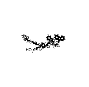 CN(Cc1cc2ccccc2n1CCC(=O)N1CCC(N(CCOCCOCCC(=O)OC(C)(C)C)C(=O)CCC(=O)O)CC1)N(C)C(=O)OCC1c2ccccc2-c2ccccc21